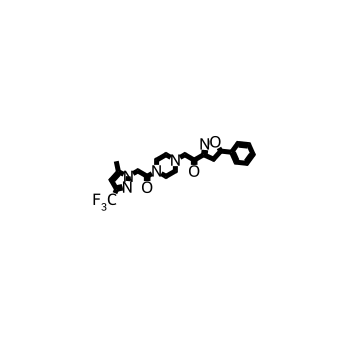 Cc1cc(C(F)(F)F)nn1CC(=O)N1CCN(CC(=O)C2=NOC(c3ccccc3)C2)CC1